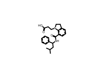 CC(C)CC(NC(=O)c1cccc2c1N(CCC(=O)O)CC2)c1ccccc1